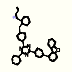 C=C/C=C\c1ccccc1Cc1ccc(-c2nc(-c3ccccc3)nc(-c3ccc(-c4cccc5oc6ccccc6c45)cc3)n2)cc1